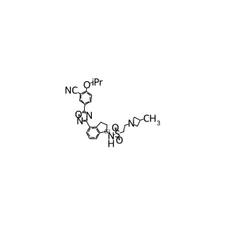 CC1CN(CCS(=O)(=O)N[C@H]2CCc3c(-c4noc(-c5ccc(OC(C)C)c(C#N)c5)n4)cccc32)C1